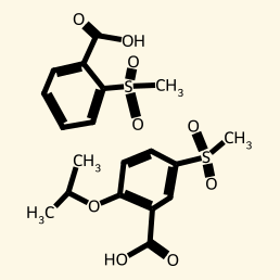 CC(C)Oc1ccc(S(C)(=O)=O)cc1C(=O)O.CS(=O)(=O)c1ccccc1C(=O)O